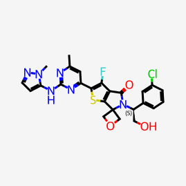 Cc1cc(-c2sc3c(c2F)C(=O)N([C@H](CO)c2cccc(Cl)c2)C32COC2)nc(Nc2ccnn2C)n1